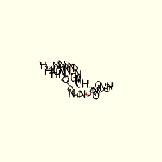 CN1CCN([C@@H]2CCCN(c3cnc(C(N)O)c(Nc4ccc(C5CCN(CC6CCN(c7ccc8c(=O)n(C9CCC(=O)NC9=O)ccc8c7)CC6)CC5)cc4)n3)C2)C1=O